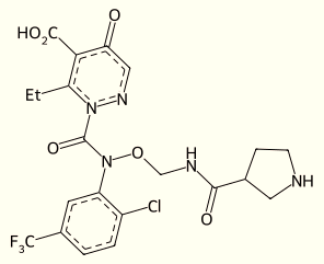 CCc1c(C(=O)O)c(=O)cnn1C(=O)N(OCNC(=O)C1CCNC1)c1cc(C(F)(F)F)ccc1Cl